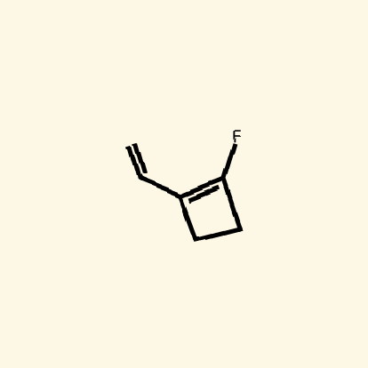 C=CC1=C(F)CC1